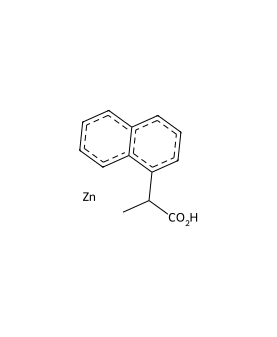 CC(C(=O)O)c1cccc2ccccc12.[Zn]